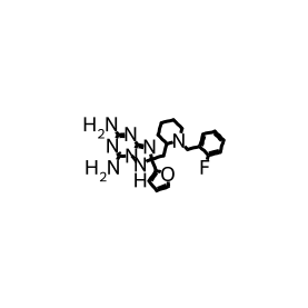 NC1=NC2=NC(CC3CCCCN3Cc3ccccc3F)(c3ccco3)NN2C(N)=N1